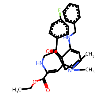 CCOC(=O)C1=CC23C(=CCN1)C(NCc1ccccc1)=CC=C2[N+](C)(C)CC3C(=O)c1ccc(F)cc1